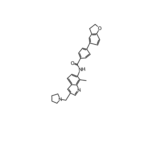 Cc1c(NC(=O)c2ccc(-c3ccc4c(c3)CCO4)cc2)ccc2cc(CN3CCCC3)cnc12